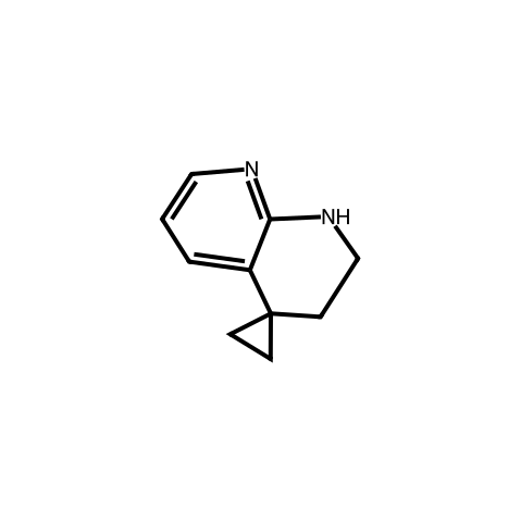 c1cnc2c(c1)C1(CCN2)CC1